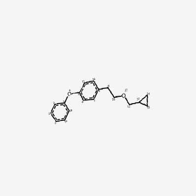 c1ccc(Oc2ccc(CCOCC3CC3)cc2)cc1